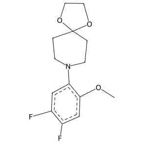 COc1cc(F)c(F)cc1N1CCC2(CC1)OCCO2